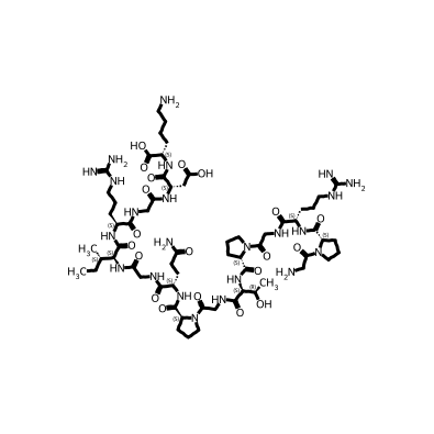 CC[C@H](C)[C@H](NC(=O)CNC(=O)[C@H](CCC(N)=O)NC(=O)[C@@H]1CCCN1C(=O)CNC(=O)[C@@H](NC(=O)[C@@H]1CCCN1C(=O)CNC(=O)[C@H](CCCNC(=N)N)NC(=O)[C@@H]1CCCN1C(=O)CN)[C@@H](C)O)C(=O)N[C@@H](CCCNC(=N)N)C(=O)NCC(=O)N[C@@H](CC(=O)O)C(=O)N[C@@H](CCCCN)C(=O)O